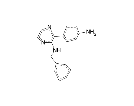 Nc1ccc(-c2nccnc2NCc2ccccc2)cc1